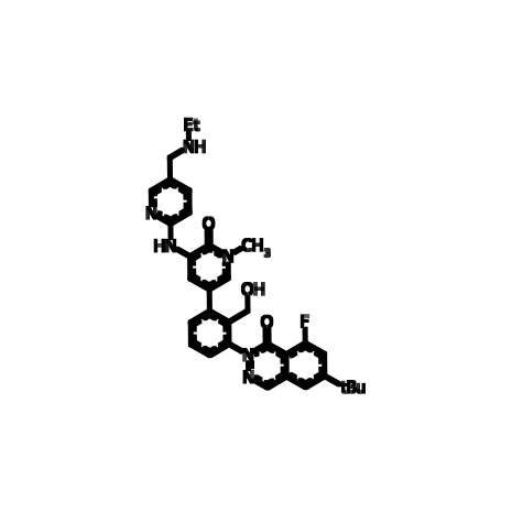 CCNCc1ccc(Nc2cc(-c3cccc(-n4ncc5cc(C(C)(C)C)cc(F)c5c4=O)c3CO)cn(C)c2=O)nc1